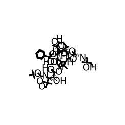 CCC1(O)CN(C[C@@H]2O[C@@H]3C4=C(C)[C@@H](OC(=O)[C@H](O)[C@@H](NC(=O)OC(C)(C)C)C5(C)COC5)C[C@@](O)([C@@H](OC(=O)c5ccccc5)[C@H]5[C@@](C)(CC[C@H]6OC[C@]65OC(C)=O)[C@@H]3O2)C4(C)C)C1